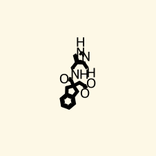 Cc1n[nH]cc1CNC(=O)C1(CC(=O)O)Cc2ccccc2C1